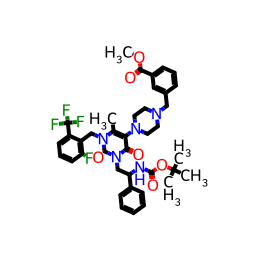 COC(=O)c1cccc(CN2CCN(c3c(C)n(Cc4c(F)cccc4C(F)(F)F)c(=O)n(CC(NC(=O)OC(C)(C)C)c4ccccc4)c3=O)CC2)c1